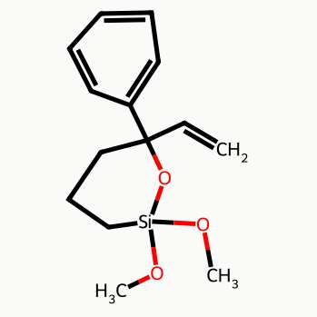 C=CC1(c2ccccc2)CCC[Si](OC)(OC)O1